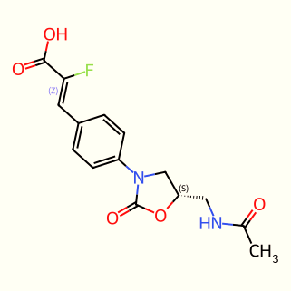 CC(=O)NC[C@H]1CN(c2ccc(/C=C(\F)C(=O)O)cc2)C(=O)O1